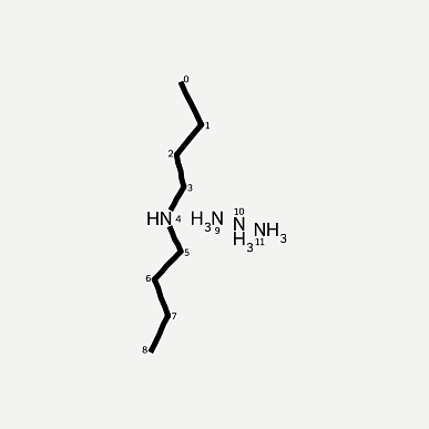 CCCCNCCCC.N.N.N